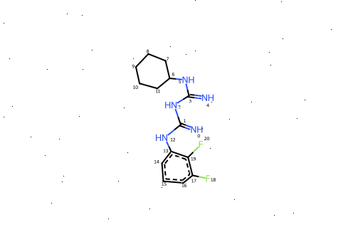 N=C(NC(=N)NC1CCCCC1)Nc1cccc(F)c1F